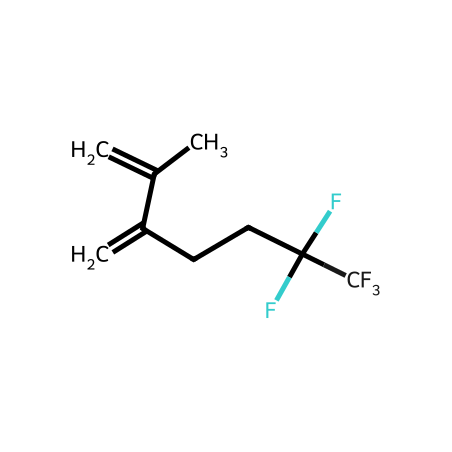 C=C(C)C(=C)CCC(F)(F)C(F)(F)F